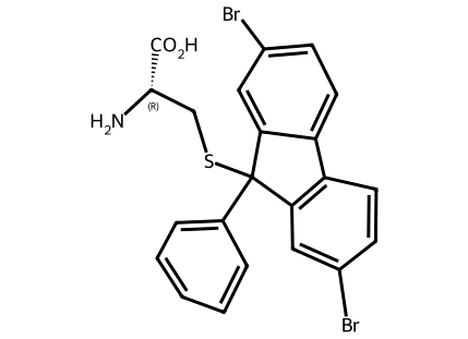 N[C@@H](CSC1(c2ccccc2)c2cc(Br)ccc2-c2ccc(Br)cc21)C(=O)O